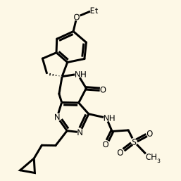 CCOc1ccc2c(c1)CC[C@]21Cc2nc(CCC3CC3)nc(NC(=O)CS(C)(=O)=O)c2C(=O)N1